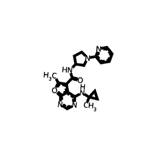 Cc1oc2ncnc(NC3(C)CC3)c2c1C(=O)NC1CCN(c2ccccn2)C1